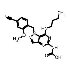 CCCCNc1nc(NC(=O)O)nc2cnn(Cc3ccc(C#N)cc3OC)c12